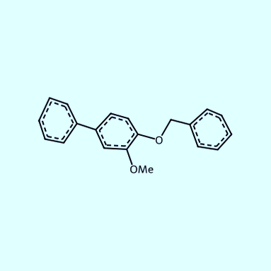 COc1cc(-c2ccccc2)ccc1OCc1ccccc1